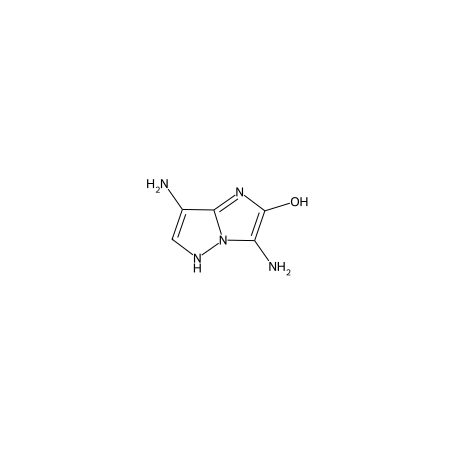 Nc1c[nH]n2c(N)c(O)nc12